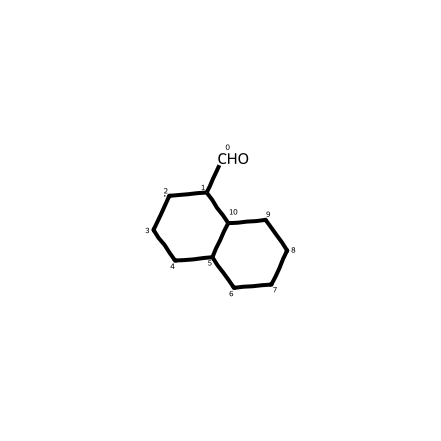 O=CC1[CH]CCC2CCCCC12